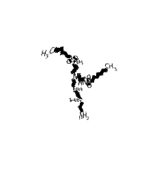 CCCCCCCCS(=O)(=O)NCCCN(CCCNCCCCNCCCN)CCCNS(=O)(=O)CCCCCCCC